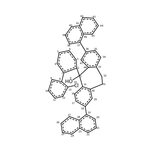 OC1(c2ccccc2-c2ccccc2Cl)c2ccc(-c3cccc4ccccc34)cc2CCc2ccc(-c3cccc4ccccc34)cc21